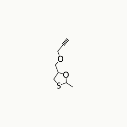 C#CCOCC1CSC(C)O1